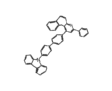 c1ccc(-c2cc(-c3ccc(-c4ccc(-n5c6ccccc6c6ccccc65)cc4)cc3)c3c(ccc4ccccc43)n2)cc1